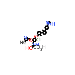 Cc1c(COc2cc(OCc3cncc(C#N)c3)c(CN[C@@](C)(CO)C(=O)O)cc2Cl)cccc1-c1cccc(-c2ccc(C3=NCCN3)cc2)c1C